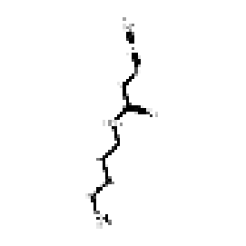 [N-]=[N+]=NCC(=O)NCCCCN